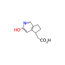 O=C(O)CC1CCc2cnc(O)cc21